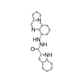 O=C(NNc1cccc2c1ncc1cccn12)c1cc2ccccc2[nH]1